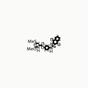 COC(=O)N[C@@H](CCSC)C(=O)Oc1ccc(Nc2nc3c(s2)C(=O)c2ccccc2C3=O)cc1